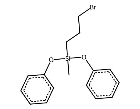 C[Si](CCCBr)(Oc1ccccc1)Oc1ccccc1